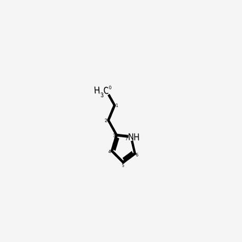 CCCc1ccc[nH]1